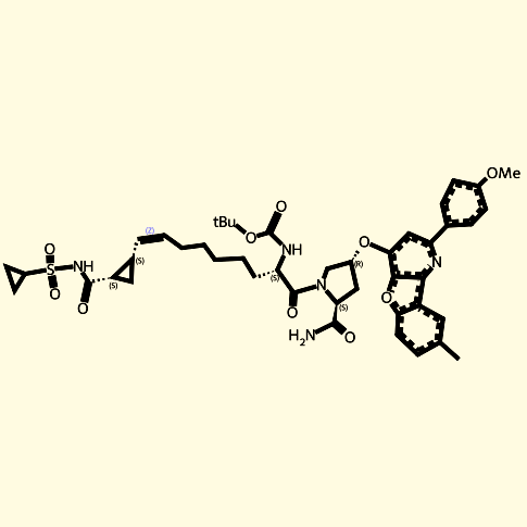 COc1ccc(-c2cc(O[C@@H]3C[C@@H](C(N)=O)N(C(=O)[C@H](CCCCC/C=C\[C@@H]4C[C@@H]4C(=O)NS(=O)(=O)C4CC4)NC(=O)OC(C)(C)C)C3)c3oc4ccc(C)cc4c3n2)cc1